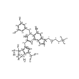 C[Si](C)(C)CCOCn1ncc2nc(C(Cc3cc(F)cc(F)c3)NC(=O)Cn3nc(C(F)F)c4c3C(F)(F)[C@@H]3C[C@H]43)c(Br)cc21